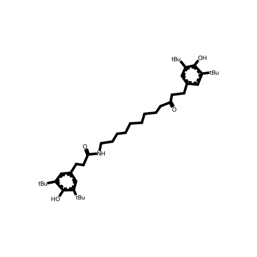 CC(C)(C)c1cc(CCC(=O)CCCCCCCCCNC(=O)CCc2cc(C(C)(C)C)c(O)c(C(C)(C)C)c2)cc(C(C)(C)C)c1O